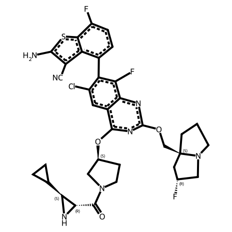 N#Cc1c(N)sc2c(F)ccc(-c3c(Cl)cc4c(O[C@H]5CCN(C(=O)[C@@H]6N[C@H]6C6CC6)C5)nc(OC[C@@]56CCCN5C[C@H](F)C6)nc4c3F)c12